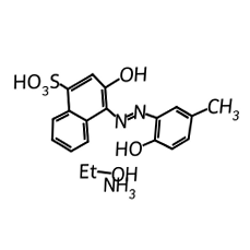 CCO.Cc1ccc(O)c(N=Nc2c(O)cc(S(=O)(=O)O)c3ccccc23)c1.N